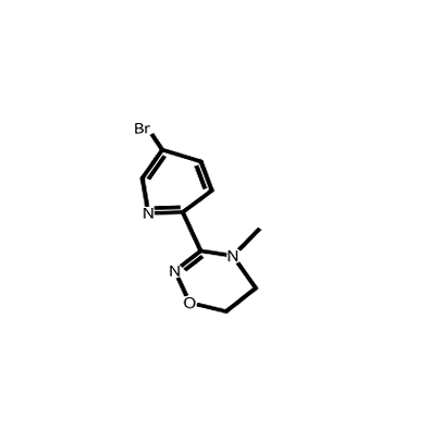 CN1CCON=C1c1ccc(Br)cn1